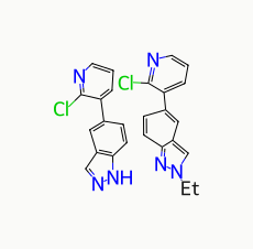 CCn1cc2cc(-c3cccnc3Cl)ccc2n1.Clc1ncccc1-c1ccc2[nH]ncc2c1